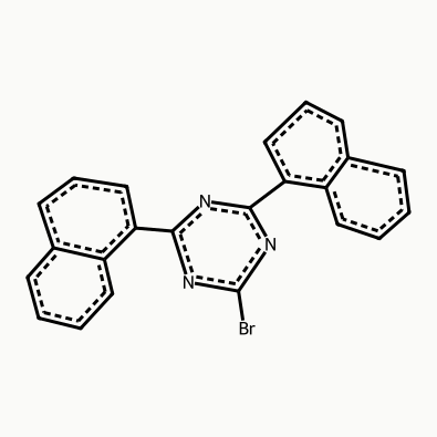 Brc1nc(-c2cccc3ccccc23)nc(-c2cccc3ccccc23)n1